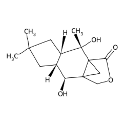 CC1(C)C[C@H]2[C@H](O)C34COC(=O)C3(C4)[C@@](C)(O)[C@H]2C1